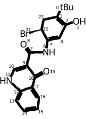 CC(C)(C)C1=C(O)C=C(NC(=O)c2c[nH]c3ccccc3c2=O)[C@@H](Br)C1